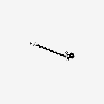 CCCCCCCCCCCCCCCCCCN1C(=O)c2ccccc2C1=O